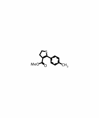 COC(=O)C1=C(c2ccc(C)cc2)SCC1